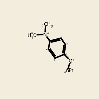 [CH2]CCOc1ccc(N(C)C)cc1